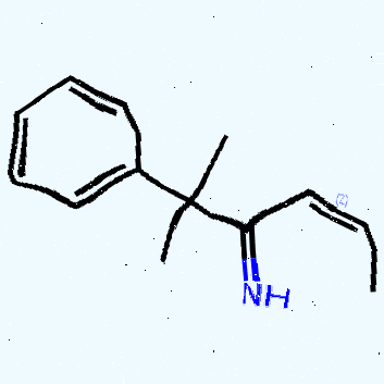 C/C=C\C(=N)C(C)(C)c1ccccc1